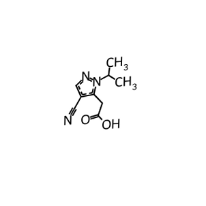 CC(C)n1ncc(C#N)c1CC(=O)O